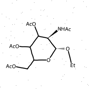 CCO[C@@H]1OC(COC(C)=O)C(OC(C)=O)C(OC(C)=O)[C@H]1NC(C)=O